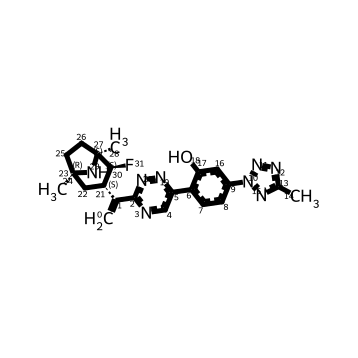 C=C(c1ncc(-c2ccc(-n3nnc(C)n3)cc2O)nn1)[C@@H]1C[C@@]2(C)CC[C@](C)(N2)[C@H]1F